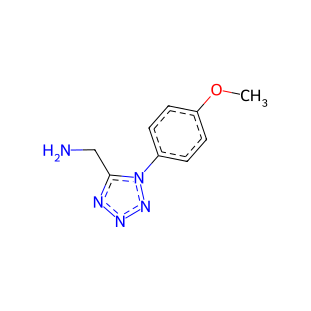 COc1ccc(-n2nnnc2CN)cc1